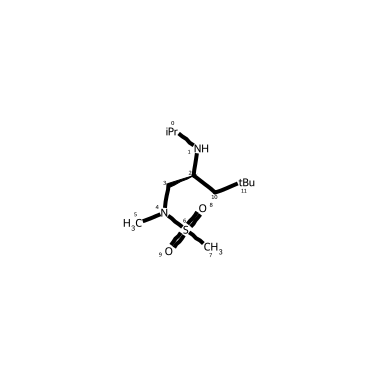 CC(C)N[C@H](CN(C)S(C)(=O)=O)CC(C)(C)C